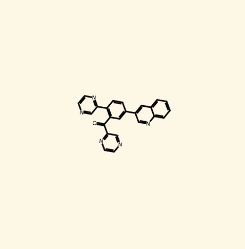 O=C(c1[c]nccn1)c1cc(-c2cnc3ccccc3c2)ccc1-c1cnccn1